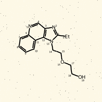 CCc1nc2cnc3ccccc3c2n1CCOCCO